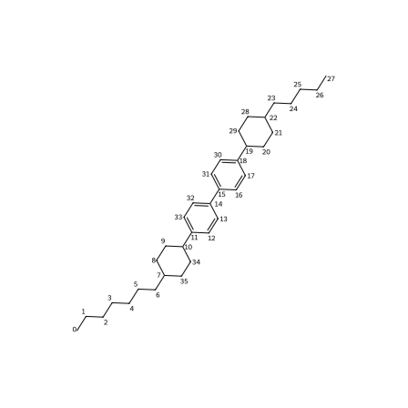 CCCCCCCC1CCC(c2ccc(-c3ccc(C4CCC(CCCCC)CC4)cc3)cc2)CC1